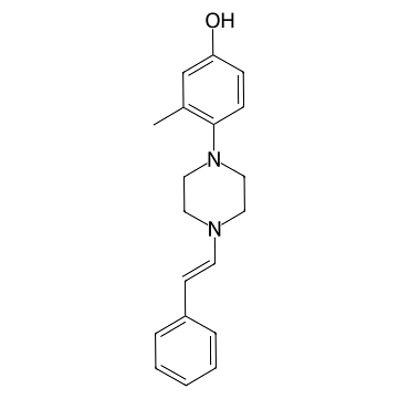 Cc1cc(O)ccc1N1CCN(C=Cc2ccccc2)CC1